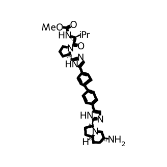 COC(=O)N[C@H](C(=O)N1CCC[C@H]1c1ncc(-c2ccc(-c3ccc(-c4cnc([C@@H]5CC[C@@H]6CC[C@H](N)CN65)[nH]4)cc3)cc2)[nH]1)C(C)C